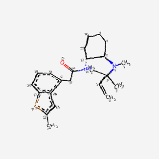 C=CC(C)(C)N(C)[C@@H]1CCCC[C@H]1NC(=O)Cc1cccc2sc(C)cc12